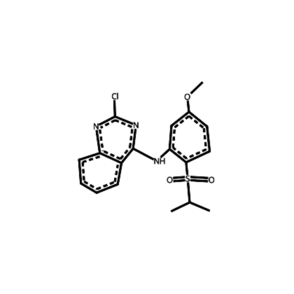 COc1ccc(S(=O)(=O)C(C)C)c(Nc2nc(Cl)nc3ccccc23)c1